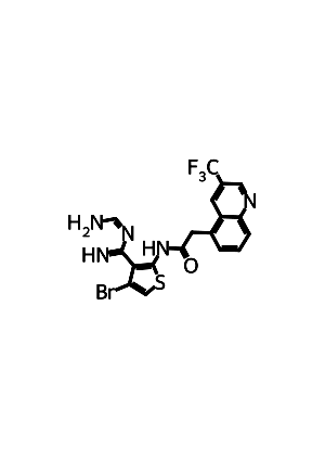 N=C(/N=C\N)c1c(Br)csc1NC(=O)Cc1cccc2ncc(C(F)(F)F)cc12